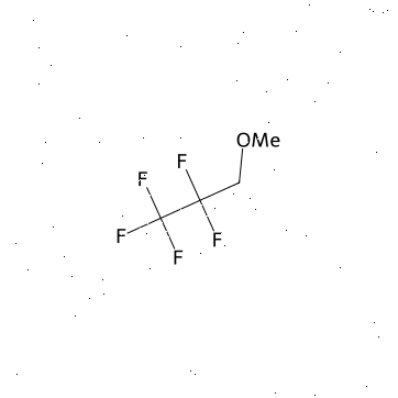 [CH2]OCC(F)(F)C(F)(F)F